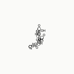 C[C@]12CC[C@@H]3[C@@H](CCC4=CC(=O)CC(C5(C(=O)O)CC[C@H]6[C@@H]7CCC8=CC(=O)CC(O)[C@]8(C)[C@@H]7CC[C@@]65C)[C@@]43C)[C@@H]1CCC2(O)C(=O)NCc1ccccn1